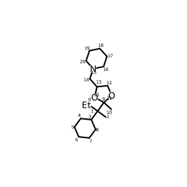 CCC(C)(C1CCCCC1)C1(C)OCC(CN2CCCCC2)O1